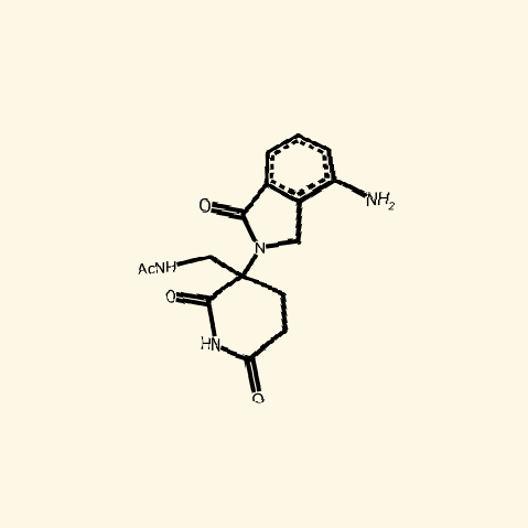 CC(=O)NCC1(N2Cc3c(N)cccc3C2=O)CCC(=O)NC1=O